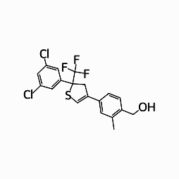 Cc1cc(C2=CSC(c3cc(Cl)cc(Cl)c3)(C(F)(F)F)C2)ccc1CO